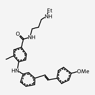 CCNCCCNC(=O)c1ccc(Nc2cccc(/C=C/c3ccc(OC)cc3)c2)c(C)c1